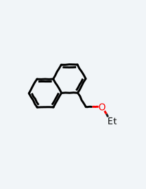 [CH2]COCc1cccc2ccccc12